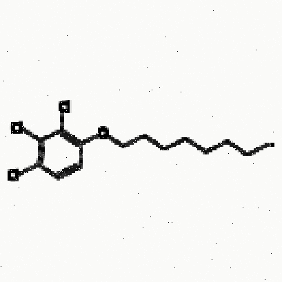 [CH2]CCCCCCCOc1ccc(Cl)c(Cl)c1Cl